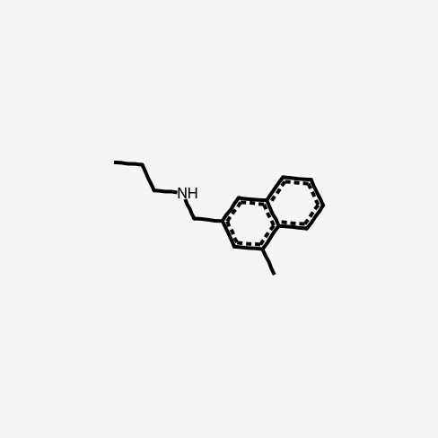 CCCNCc1cc(C)c2ccccc2c1